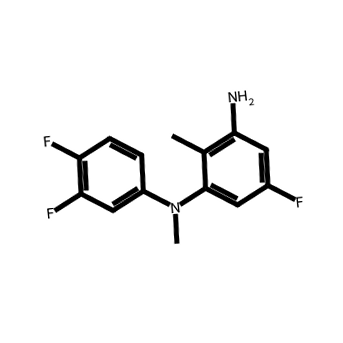 Cc1c(N)cc(F)cc1N(C)c1ccc(F)c(F)c1